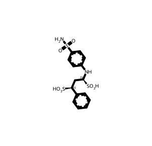 NS(=O)(=O)c1ccc(N[C@H](C[C@@H](c2ccccc2)S(=O)(=O)O)S(=O)(=O)O)cc1